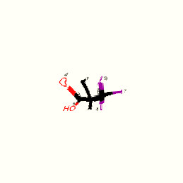 CC(C)(C(=O)O)C(I)(I)I